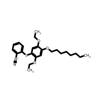 CCCCCCCCOc1cc(OCC)c(Sc2ccccc2[N+]#N)cc1OCC